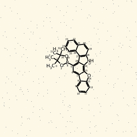 CC1(C)OB(c2cc3c4ccccc4oc3c3[nH]c4ccc5ccccc5c4c23)OC1(C)C